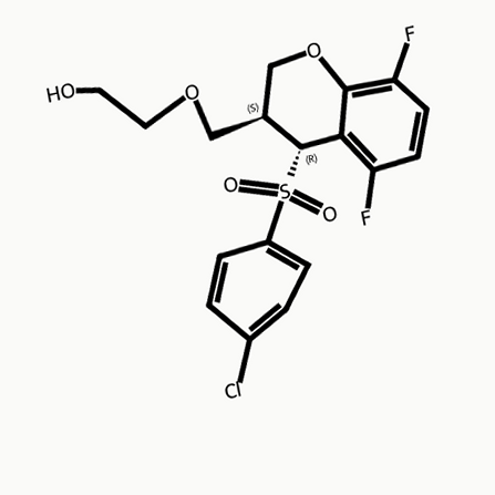 O=S(=O)(c1ccc(Cl)cc1)[C@H]1c2c(F)ccc(F)c2OC[C@@H]1COCCO